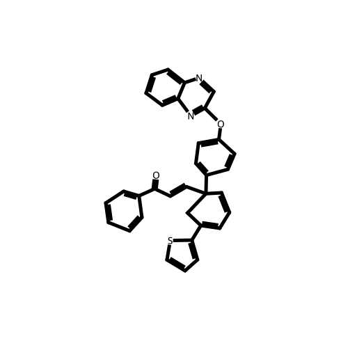 O=C(C=CC1(c2ccc(Oc3cnc4ccccc4n3)cc2)C=CC=C(c2cccs2)C1)c1ccccc1